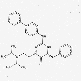 CC(C)N(CCNC(=O)[C@H](Cc1ccccc1)NC(=O)Nc1ccc(-c2ccccc2)cc1)C(C)C